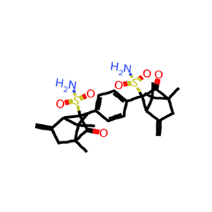 C=C1CC2(C)C(=O)C(c3ccc(C4(S(N)(=O)=O)C(=O)C5(C)CC(=C)C4C5(C)C)cc3)(S(N)(=O)=O)C1C2(C)C